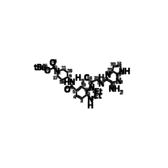 CCNc1ccc(C(=O)NC2CCN(C(=O)OC(C)(C)C)CC2)cc1N(CC)C(C)CNc1nc2cc[nH]c2nc1N